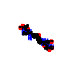 CC[C@H](C)C(NC(=O)OC)C(=O)N1C[C@@H](C)C[C@H]1c1ncc(-c2ccc3c(c2)COc2cc4c(ccc5nc([C@@H]6C[C@H](COC)CN6C(=O)[C@@H](NC(=O)OC)C(C)C)[nH]c54)cc2-3)[nH]1